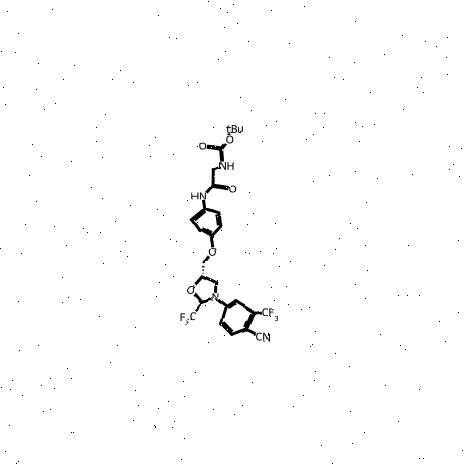 CC(C)(C)OC(=O)NCC(=O)Nc1ccc(OC[C@@H]2CN(c3ccc(C#N)c(C(F)(F)F)c3)[C@@H](C(F)(F)F)O2)cc1